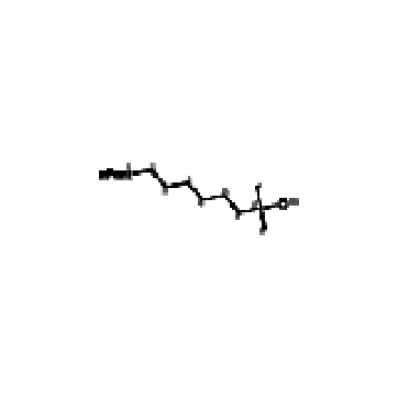 CCCCCCCCCCCC(C)(C)[O]